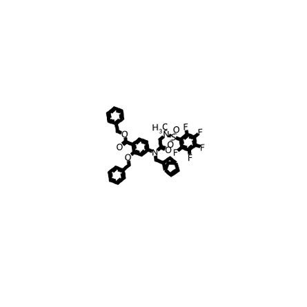 CN(CC(=O)N(CC1CC2C=CC1C2)c1ccc(C(=O)OCc2ccccc2)c(OCc2ccccc2)c1)S(=O)(=O)c1c(F)c(F)c(F)c(F)c1F